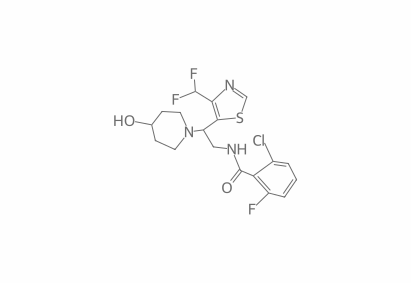 O=C(NCC(c1scnc1C(F)F)N1CCC(O)CC1)c1c(F)cccc1Cl